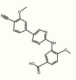 COc1cc(-c2cnc(Nc3cc(C(=O)O)ccc3OC)nc2)ccc1C#N